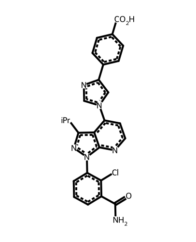 CC(C)c1nn(-c2cccc(C(N)=O)c2Cl)c2nccc(-n3cnc(-c4ccc(C(=O)O)cc4)c3)c12